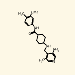 COc1cc(NC(=O)C2CCC(NCc3c(C)cncc3N)CC2)ccc1C